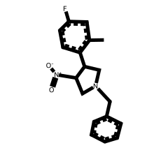 Cc1cc(F)ccc1C1CN(Cc2ccccc2)CC1[N+](=O)[O-]